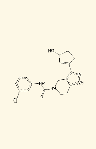 O=C(Nc1cccc(Cl)c1)N1CCc2[nH]nc(C3=CC(O)CC3)c2C1